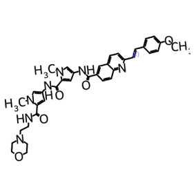 COc1ccc(/C=C/c2ccc3cc(C(=O)Nc4cc(C(=O)Nc5cc(C(=O)NCCN6CCOCC6)n(C)c5)n(C)c4)ccc3n2)cc1